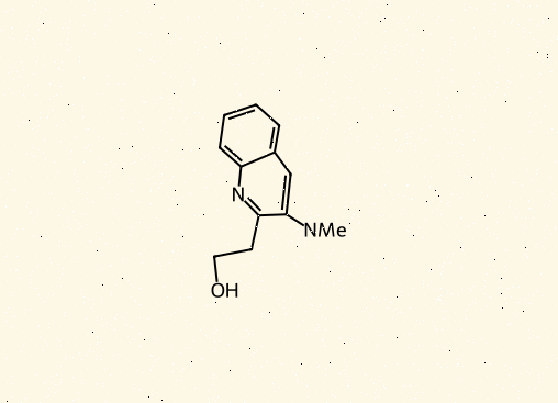 CNc1cc2ccccc2nc1CCO